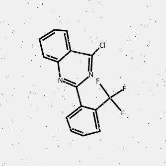 FC(F)(F)c1ccccc1-c1nc(Cl)c2ccccc2n1